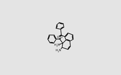 NC1C=Cc2cccc(C(=O)c3ccccc3)c2C1(N)C(=O)c1ccccc1